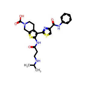 CC(C)NCCC(=O)Nc1sc2c(c1-c1nc(C(=O)Nc3ccccc3)cs1)CCN(C(=O)O)C2